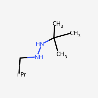 CCCCNNC(C)(C)C